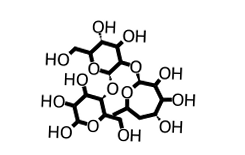 CC1C[C@@H](O)C(O)C(O)[C@H](OC2C(O)[C@@H](O)C(CO)O[C@H]2O[C@@H]2C(CO)OC(O)C(O)C2O)O1